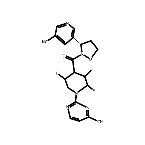 N#Cc1cncc([C@@H]2CCON2C(=O)C2C(F)CN(c3nccc(C#N)n3)C(F)C2F)c1